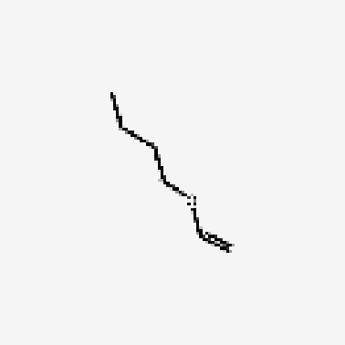 C=CO[CH]CCC